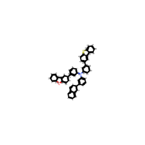 c1cc(-c2ccc3ccccc3c2)cc(N(c2cccc(-c3ccc4oc5ccccc5c4c3)c2)c2cccc(-c3ccc4sc5ccccc5c4c3)c2)c1